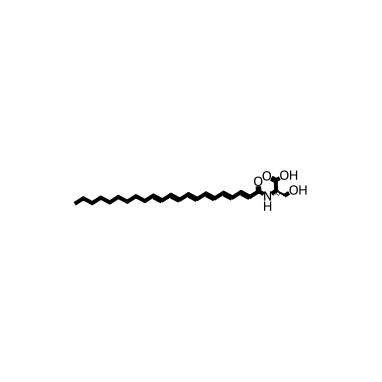 CCCCCCCCCC=CC=CC=CC=CC=CC=CC(=O)N[C@H](CO)C(=O)O